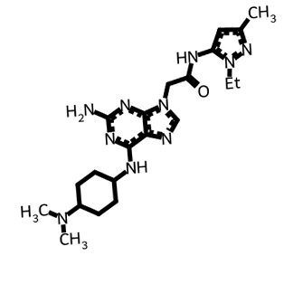 CCn1nc(C)cc1NC(=O)Cn1cnc2c(NC3CCC(N(C)C)CC3)nc(N)nc21